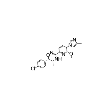 COc1nc(C2=NO[C@@H](c3ccc(Cl)cc3)[C@@H](C)N2)ccc1-n1cnc(C)c1